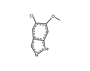 COc1cc2[se]ncc2cc1Cl